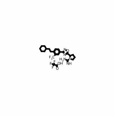 N=C(N)N1CCCC1c1nc(-c2ccc(CCC3CCCCC3)c(C(F)(F)F)c2)no1.O=C(O)C(F)(F)F